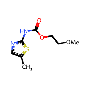 COCCOC(=O)Nc1ncc(C)s1